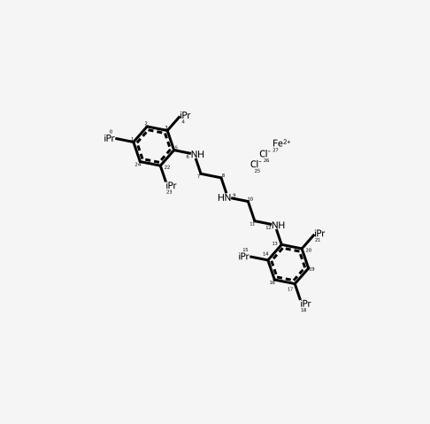 CC(C)c1cc(C(C)C)c(NCCNCCNc2c(C(C)C)cc(C(C)C)cc2C(C)C)c(C(C)C)c1.[Cl-].[Cl-].[Fe+2]